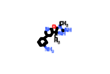 CN1C(=N)NC(C)(c2cncc(-c3cccc(N)c3)c2)C1=O